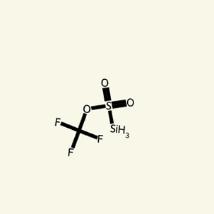 O=S(=O)([SiH3])OC(F)(F)F